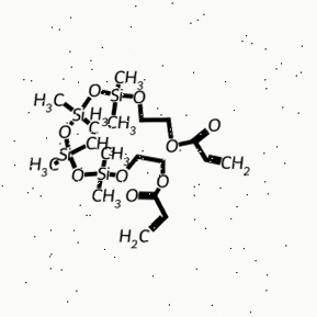 C=CC(=O)OCCO[Si](C)(C)O[Si](C)(C)O[Si](C)(C)O[Si](C)(C)OCCOC(=O)C=C